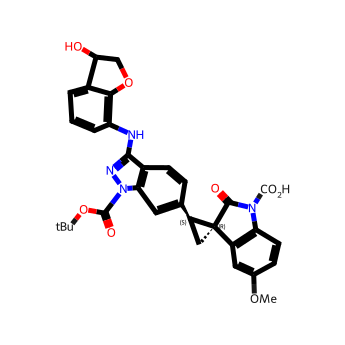 COc1ccc2c(c1)[C@]1(C[C@H]1c1ccc3c(Nc4cccc5c4OCC5O)nn(C(=O)OC(C)(C)C)c3c1)C(=O)N2C(=O)O